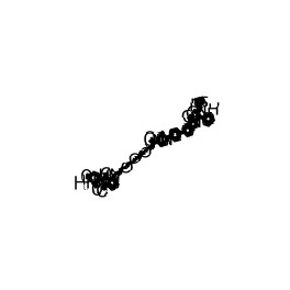 O=C1CCC(N2C(=O)c3cccc(NCCOCCOCCOCCC(=O)N4CCN(c5ccc(-c6ccc7c(c6)C(=O)N(C(C(=O)Nc6nccs6)c6ccccc6)C7)cc5)CC4)c3C2=O)C(=O)N1